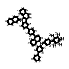 [2H]c1c([2H])c([2H])c(-c2ccc(N(c3ccc(-c4ccccc4)cc3)c3ccc(-c4ccc(-c5ccc6c(c5)c5ccc7ccccc7c5n6-c5ccc6ccccc6c5)cc4)c4ccccc34)cc2)c([2H])c1[2H]